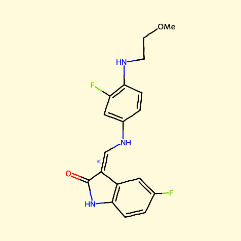 COCCNc1ccc(N/C=C2/C(=O)Nc3ccc(F)cc32)cc1F